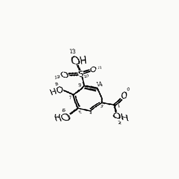 O=C(O)c1cc(O)c(O)c(S(=O)(=O)O)c1